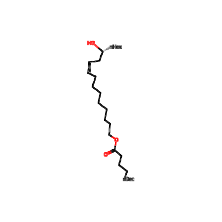 CCCCCCCCCCCCCC(=O)OCCCCCCCC/C=C\C[C@H](O)CCCCCC